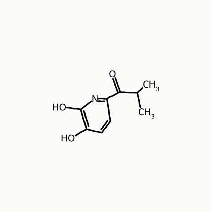 CC(C)C(=O)c1ccc(O)c(O)n1